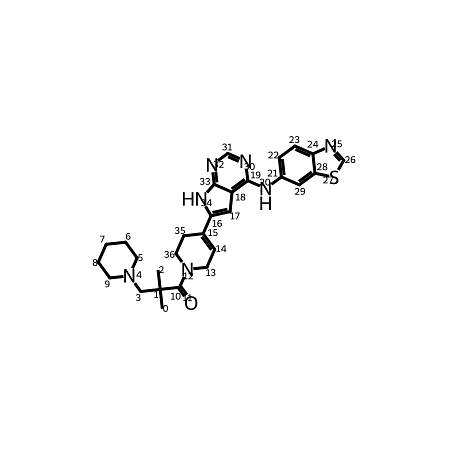 CC(C)(CN1CCCCC1)C(=O)N1CC=C(c2cc3c(Nc4ccc5ncsc5c4)ncnc3[nH]2)CC1